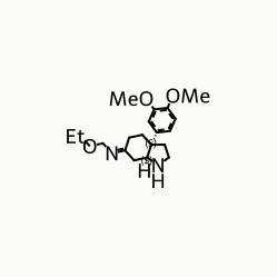 CCOCN=C1CC[C@@]2(c3ccc(OC)c(OC)c3)CCN[C@H]2C1